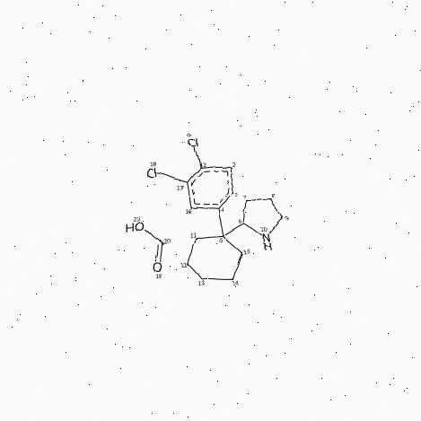 Clc1ccc(C2(C3CCCN3)CCCCC2)cc1Cl.O=CO